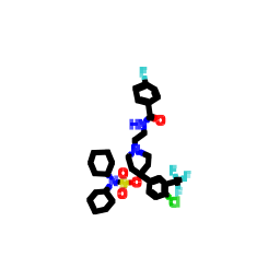 O=C(NCCN1CCC(OS(=O)(=O)N(C2CCCCC2)C2CCCCC2)(c2ccc(Cl)c(C(F)(F)F)c2)CC1)c1ccc(F)cc1